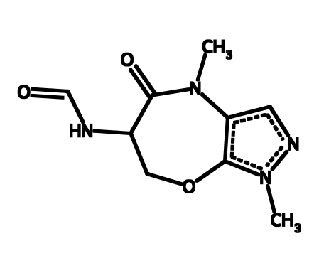 CN1C(=O)C(NC=O)COc2c1cnn2C